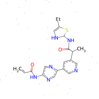 C=CC(=O)Nc1cnc(-c2cncc(C(C)C(=O)NC3NC=C(CC)S3)c2)cn1